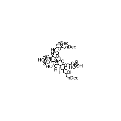 CCCCCCCCCCCC(=O)O[C@H](CCCCCCCCCCC)CC(=O)NC1C(OCC2OC(OCCOP(=O)(O)O)C(NC(=O)C[C@H](O)CCCCCCCCCCC)C(O)C2O)OC(CO)C(OP(=O)(O)O)C1O